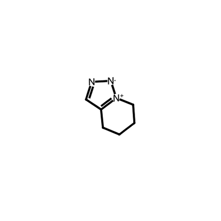 C1=N[N][N+]2=C1CCCC2